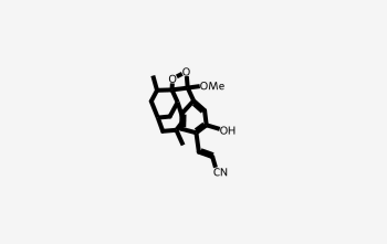 COC1(c2ccc(/C=C/C#N)c(O)c2)OOC12C(C)CC1CC(C)CC2C1